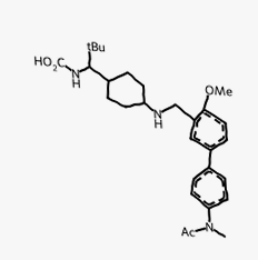 COc1ccc(-c2ccc(N(C)C(C)=O)cc2)cc1CNC1CCC(C(NC(=O)O)C(C)(C)C)CC1